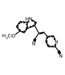 COc1ccc2[nH]cc(/C(C#N)=C/c3ccc(C#N)nc3)c2c1